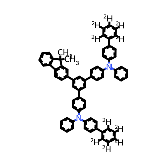 [2H]c1c([2H])c([2H])c(-c2ccc(N(c3ccccc3)c3ccc(-c4cc(-c5ccc(N(c6ccccc6)c6ccc(-c7c([2H])c([2H])c([2H])c([2H])c7[2H])cc6)cc5)cc(-c5ccc6c(c5)C(C)(C)c5ccccc5-6)c4)cc3)cc2)c([2H])c1[2H]